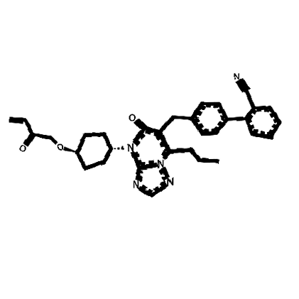 C=CC(=O)CO[C@H]1CC[C@H](n2c(=O)c(Cc3ccc(-c4ccccc4C#N)cc3)c(CCC)n3ncnc32)CC1